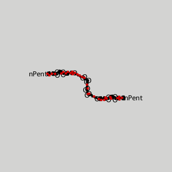 CCCCCC1CCC(C2CCC(C(=O)Oc3ccc(OC(=O)c4ccc(-c5ccc(OCCCCCCOC(=O)CCC(=O)OCCCCOC(=O)CCC(=O)OCCCCCCOc6ccc(-c7ccc(C(=O)Oc8ccc(OC(=O)C9CCC(C%10CCC(CCCCC)CC%10)CC9)cc8)cc7)cc6)cc5)cc4)cc3)CC2)CC1